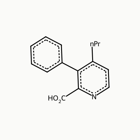 CCCc1ccnc(C(=O)O)c1-c1ccccc1